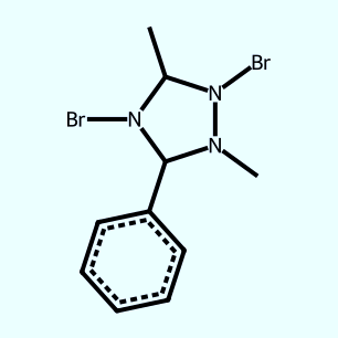 CC1N(Br)C(c2ccccc2)N(C)N1Br